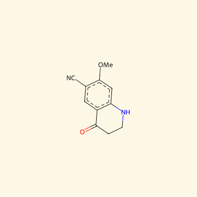 COc1cc2c(cc1C#N)C(=O)CCN2